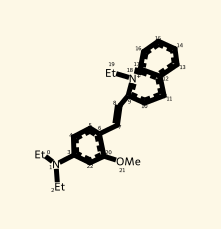 CCN(CC)c1ccc(/C=C/c2ccc3ccccc3[n+]2CC)c(OC)c1